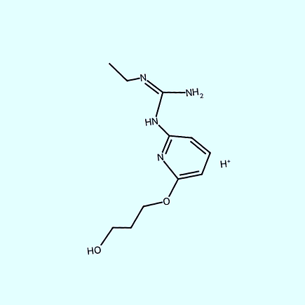 CC/N=C(/N)Nc1cccc(OCCCO)n1.[H+]